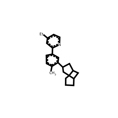 CCc1ccnc(-c2ccc(C)c(C3CC4CC5CCCC54C3)c2)c1